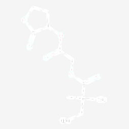 CC(C)(C)CC(C)(C(=O)OCC(=O)OC1CCOC1=O)C(C)(C)C